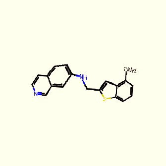 COc1cccc2sc(CNc3ccc4ccncc4c3)cc12